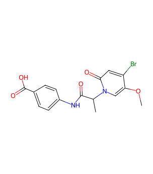 COc1cn(C(C)C(=O)Nc2ccc(C(=O)O)cc2)c(=O)cc1Br